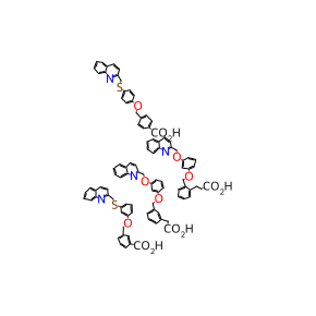 O=C(O)CCc1ccccc1COc1cccc(OCc2ccc3ccccc3n2)c1.O=C(O)Cc1cccc(COc2cccc(OCc3ccc4ccccc4n3)c2)c1.O=C(O)c1ccc(COc2ccc(SCc3ccc4ccccc4n3)cc2)cc1.O=C(O)c1cccc(COc2cccc(SCc3ccc4ccccc4n3)c2)c1